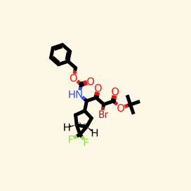 CC(C)(C)OC(=O)C(Br)C(=O)C(NC(=O)OCc1ccccc1)C1C[C@@H]2[C@H](C1)C2(F)F